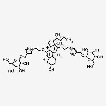 CCC[C@@H](C)[C@H]1CC[C@H]2[C@@H]3[C@H](OCCn4cc(CO[C@@H]5OC(CO)[C@@H](O)C(O)[C@@H]5O)nn4)C[C@@H]4C[C@H](O)CC[C@]4(C)[C@H]3C[C@H](OCCn3cc(CO[C@@H]4OC(CO)[C@@H](O)C(O)[C@@H]4O)nn3)[C@]12C